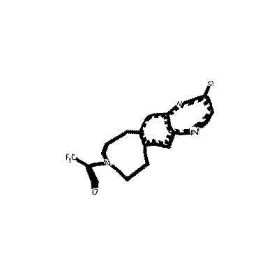 O=C(N1CCc2cc3ncc(Cl)nc3cc2CC1)C(F)(F)F